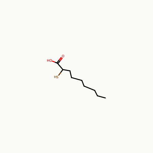 CCCCCCCC(S)C(=O)O